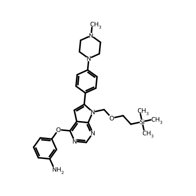 CN1CCN(c2ccc(-c3cc4c(Oc5cccc(N)c5)ncnc4n3COCC[Si](C)(C)C)cc2)CC1